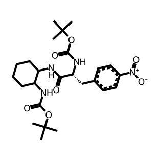 CC(C)(C)OC(=O)NC1CCCCC1NC(=O)[C@@H](Cc1ccc([N+](=O)[O-])cc1)NC(=O)OC(C)(C)C